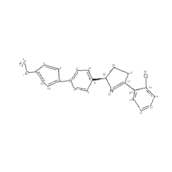 FC(F)(F)Oc1ccc(-c2ccc([C@H]3CCC(c4ccccc4Cl)=N3)cc2)cc1